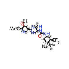 CCOc1cc(-c2ncc(NC(=O)Nc3ccc(C(C)(C)C#N)c(C(F)(F)F)c3)c(C)n2)cnc1OC